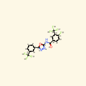 O=C(Nc1nnc(-c2cccc(C(F)(F)F)c2)o1)c1ccc(F)c(C(F)(F)F)c1